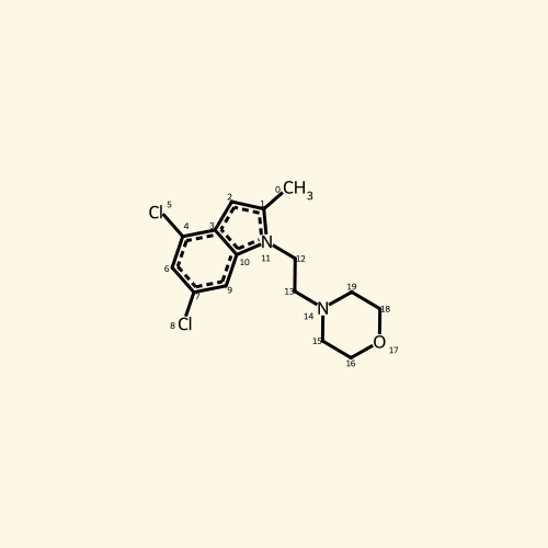 Cc1cc2c(Cl)cc(Cl)cc2n1CCN1CCOCC1